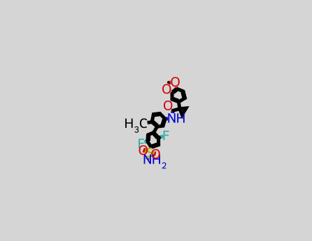 Cc1ccc(NC(=O)C2(c3ccc4c(c3)OCO4)CC2)cc1-c1cc(F)c(S(N)(=O)=O)cc1F